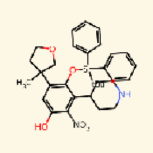 CC1(c2cc(O)c([N+](=O)[O-])c(C3CCNCC3)c2O[Si](c2ccccc2)(c2ccccc2)C(C)(C)C)CCOC1